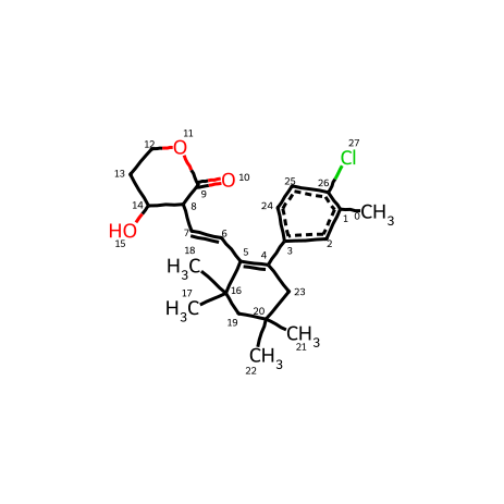 Cc1cc(C2=C(C=CC3C(=O)OCCC3O)C(C)(C)CC(C)(C)C2)ccc1Cl